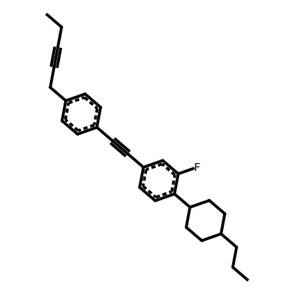 CCC#CCc1ccc(C#Cc2ccc(C3CCC(CCC)CC3)c(F)c2)cc1